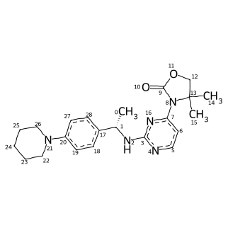 C[C@H](Nc1nccc(N2C(=O)OCC2(C)C)n1)c1ccc(N2CCCCC2)cc1